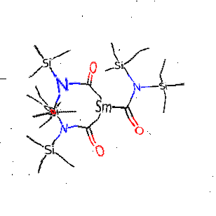 C[Si](C)(C)N([C](=O)[Sm]([C](=O)N([Si](C)(C)C)[Si](C)(C)C)[C](=O)N([Si](C)(C)C)[Si](C)(C)C)[Si](C)(C)C